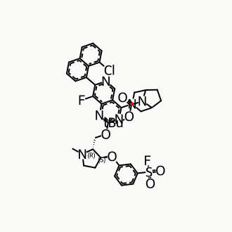 CN1CC[C@H](Oc2cccc(S(=O)(=O)F)c2)[C@H]1COc1nc(N2CC3CCC(C2)N3C(=O)OC(C)(C)C)c2cnc(-c3cccc4cccc(Cl)c34)c(F)c2n1